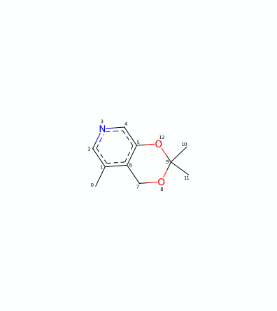 Cc1cncc2c1COC(C)(C)O2